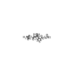 CCC(=O)OCOC(=O)c1cccc2c1OB(O)[C@@H](NC(=O)CCS(N)(=O)=O)C2